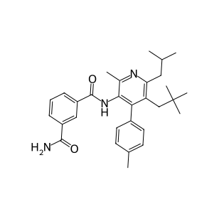 Cc1ccc(-c2c(CC(C)(C)C)c(CC(C)C)nc(C)c2NC(=O)c2cccc(C(N)=O)c2)cc1